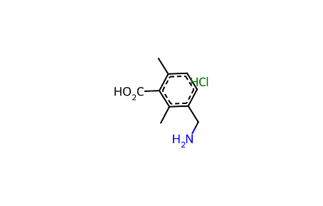 Cc1ccc(CN)c(C)c1C(=O)O.Cl